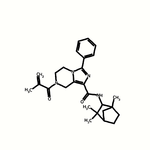 C=C(C)C(=O)N1CCn2c(-c3ccccc3)nc(C(=O)NC3C4(C)CCC(C4)C3(C)C)c2C1